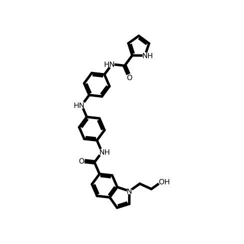 O=C(Nc1ccc(Nc2ccc(NC(=O)c3ccc[nH]3)cc2)cc1)c1ccc2ccn(CCO)c2c1